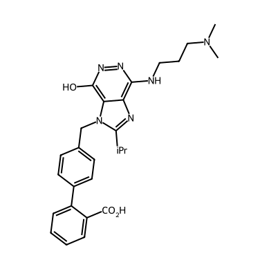 CC(C)c1nc2c(NCCCN(C)C)nnc(O)c2n1Cc1ccc(-c2ccccc2C(=O)O)cc1